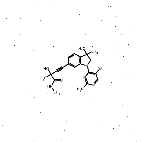 CNC(=O)C(C)(O)C#Cc1ccc2c(c1)N(c1nc(N)ncc1Cl)CC2(C)C